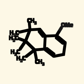 COC1=CCC=C2C1=CC(C)(C)C(C)(C)C2(C)C